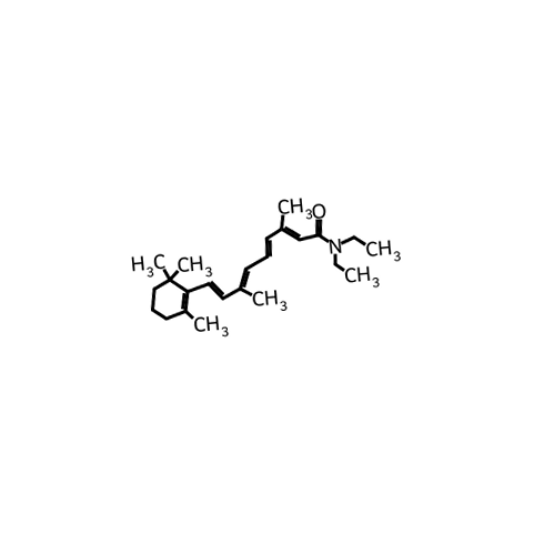 CCN(CC)C(=O)C=C(C)C=CC=C(C)C=CC1=C(C)CCCC1(C)C